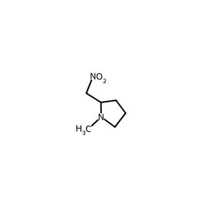 CN1CCCC1C[N+](=O)[O-]